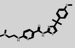 COc1ccc(C(C)(C)c2csc(NC(=O)c3ccc(NCCN(C)C)nc3)n2)cc1